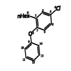 CCCCCCc1cc(Cl)ccc1Oc1cc[c]cc1